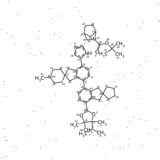 CC(C)C1(C)OB(c2ccc(-c3ccc(-c4cnc([C@@H]5C6CCC(C6)N5C(=O)OC(C)(C)C)[nH]4)c4c3CC3(CCN(C)CC3)C4)c3c2CC2(CCCC2)C3)OC1(C)C